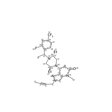 CC#CCn1cc2c(n1)c(N1C[C@@H](CC)N(C(C)c3ccc(C(F)(F)F)cc3F)C[C@@H]1CC)cc(=O)n2C